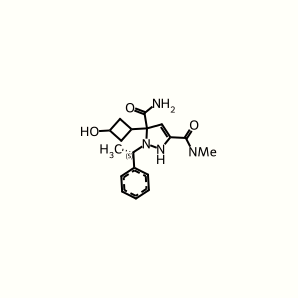 CNC(=O)C1=CC(C(N)=O)(C2CC(O)C2)N([C@@H](C)c2ccccc2)N1